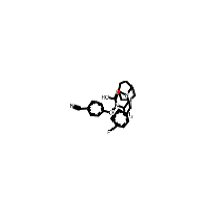 CC(CN1C2CCC1CN(Cc1ccc(F)cc1)C2)N(Oc1ccc(C#N)cc1)C(=O)O